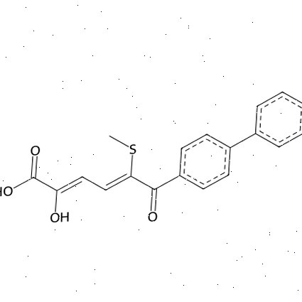 CS/C(=C\C=C(/O)C(=O)O)C(=O)c1ccc(-c2ccccc2)cc1